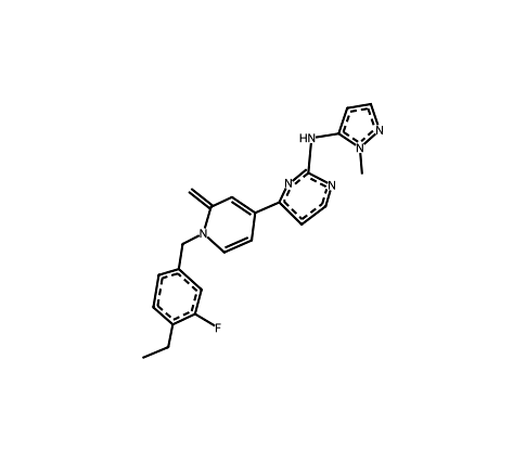 C=C1C=C(c2ccnc(Nc3ccnn3C)n2)C=CN1Cc1ccc(CC)c(F)c1